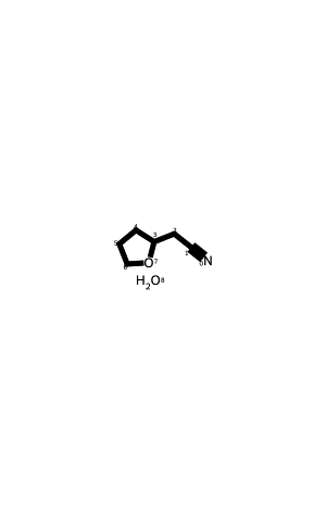 N#CCC1CCCO1.O